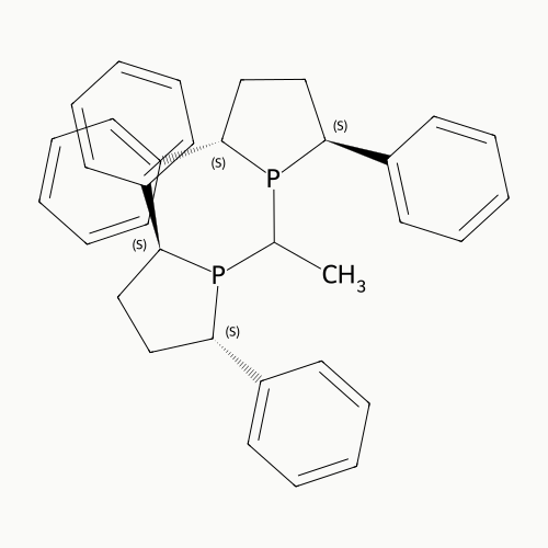 CC(P1[C@H](c2ccccc2)CC[C@H]1c1ccccc1)P1[C@H](c2ccccc2)CC[C@H]1c1ccccc1